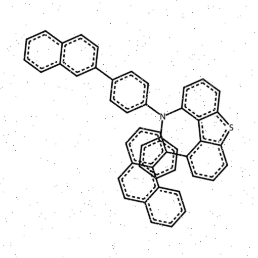 c1ccc(N(c2ccc(-c3ccc4ccccc4c3)cc2)c2cccc3sc4cccc(-c5cccc6ccc7ccccc7c56)c4c23)cc1